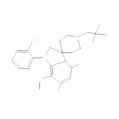 COc1c(F)cc(Cl)c2c1N(c1ccccc1N)CC21CCN(CC(C)(C)C)CC1